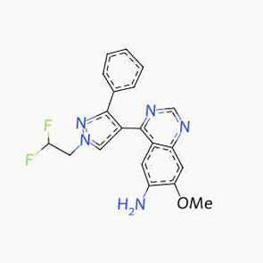 COc1cc2ncnc(-c3cn(CC(F)F)nc3-c3ccccc3)c2cc1N